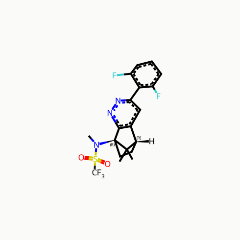 CN([C@@]12CC[C@@H](c3cc(-c4c(F)cccc4F)nnc31)C2(C)C)S(=O)(=O)C(F)(F)F